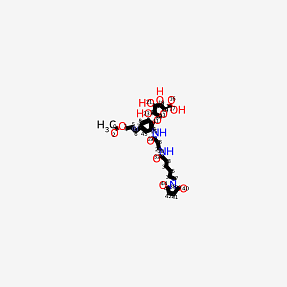 CC(=O)OC/C=C/c1ccc(O[C@@H]2O[C@H](C(=O)O)[C@@H](O)[C@H](O)[C@H]2O)c(NC(=O)CCNC(=O)CCCCCN2C(=O)C=CC2=O)c1